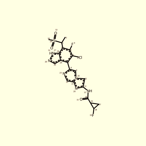 CC(c1c(F)c(Cl)c(-c2cn3cc(NC(=O)C4CC4F)nc3cn2)c2cn[nH]c12)S(C)(=O)=O